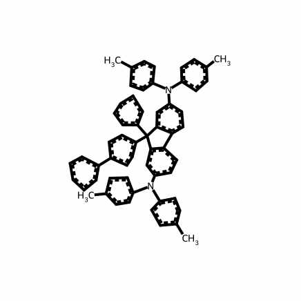 Cc1ccc(N(c2ccc(C)cc2)c2ccc3c(c2)C(c2ccccc2)(c2ccc(-c4ccccc4)cc2)c2cc(N(c4ccc(C)cc4)c4ccc(C)cc4)ccc2-3)cc1